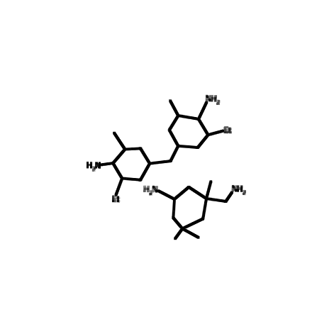 CC1(C)CC(N)CC(C)(CN)C1.CCC1CC(CC2CC(C)C(N)C(CC)C2)CC(C)C1N